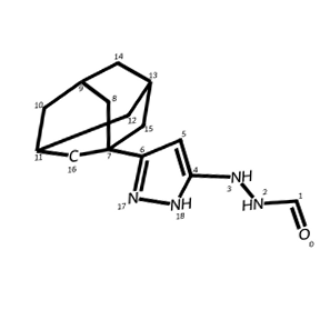 O=CNNc1cc(C23CC4CC(CC(C4)C2)C3)n[nH]1